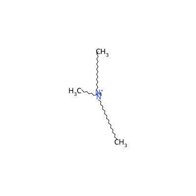 CCCCCCCCCCCCCCCCCCCn1cc[n+](CCCCCCCCCCCCCCCC)c1CCCCCCC